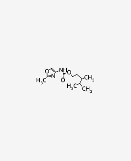 Cc1nc(NC(=O)OCC[C@@H](C)C(C)C)co1